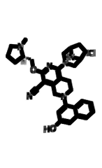 CN1CCC[C@H]1COc1nc(N2CC3CCC(C2)N3)c2c(c1C#N)CN(c1cc(O)cc3ccccc13)CC2.Cl